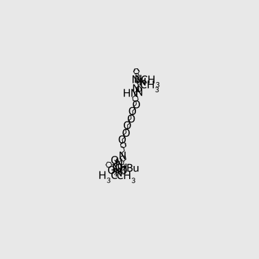 C[C@@H](C(=O)N[C@H](C(=O)N1CCC2CCN(CCc3ccc(OCCOCCOCCOCCOCCOC4CCC(Nc5nccc(-c6cnn(Cc7ccccc7)c6N(C)C)n5)CC4)cc3)CC21)C1CCCCC1)N(C)C(=O)OC(C)(C)C